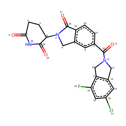 O=C1CCC(N2Cc3cc(C(=O)N4Cc5cc(Cl)cc(F)c5C4)ccc3C2=O)C(=O)N1